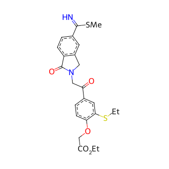 CCOC(=O)COc1ccc(C(=O)CN2Cc3cc(C(=N)SC)ccc3C2=O)cc1SCC